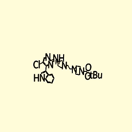 CC(C)(C)OC(=O)N1CCN(CCN2CC[C@@H](Nc3ncc(Cl)c(-c4c[nH]c5ccccc45)n3)C2)CC1